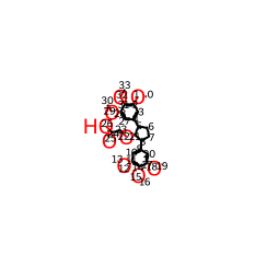 COc1cc(C2CCC(c3cc(OC)c(OC)c(OC)c3)C2OCC(=O)O)cc(OC)c1OC